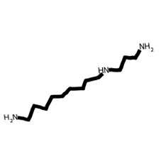 NCCCCCCCCCNCCCN